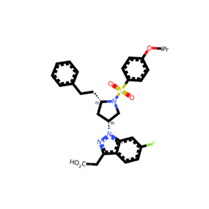 CC(C)Oc1ccc(S(=O)(=O)N2C[C@H](n3nc(CC(=O)O)c4ccc(F)cc43)C[C@@H]2CCc2ccccc2)cc1